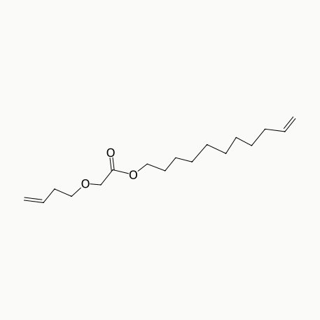 C=CCCCCCCCCCOC(=O)COCCC=C